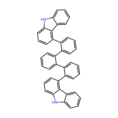 c1ccc(-c2ccccc2-c2cccc3[nH]c4ccccc4c23)c(-c2ccccc2-c2cccc3[nH]c4ccccc4c23)c1